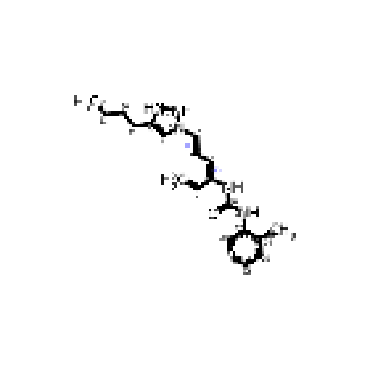 C=C/C(=C\C=C\N1C=C(CCCC)NN1)NC(=O)Nc1cnccc1C